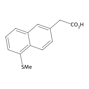 CSc1cccc2cc(CC(=O)O)ccc12